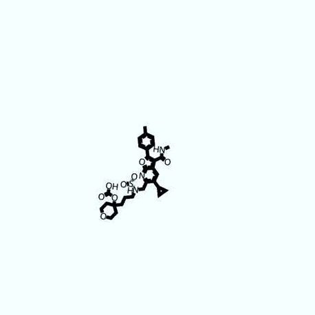 CNC(=O)c1c(-c2ccc(C)cc2)oc2nc(CN(CCCC3(OC(=O)O)CCOCC3)[SH](=O)=O)c(C3CC3)cc12